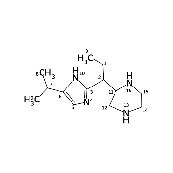 CCC(c1ncc(C(C)C)[nH]1)C1CNCCN1